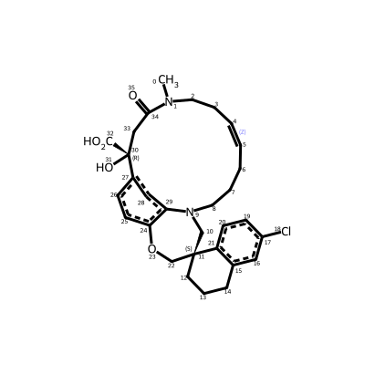 CN1CC/C=C\CCCN2C[C@@]3(CCCc4cc(Cl)ccc43)COc3ccc(cc32)[C@@](O)(C(=O)O)CC1=O